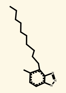 CCCCCCCCCCc1c(C)ccc2c1N=N[N]2